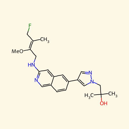 CO/C(CNc1cc2cc(-c3cnn(CC(C)(C)O)c3)ccc2cn1)=C(/C)CF